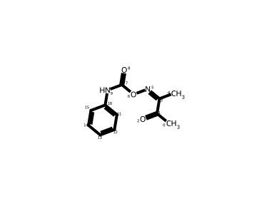 CC(=O)C(C)=NOC(=O)Nc1ccccc1